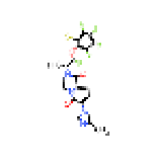 Cc1cn(-c2ccc3n(c2=O)CCN([C@@H](C)C(F)Oc2c(F)c(F)c(F)c(F)c2[S])C3=O)cn1